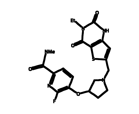 CCn1c(=O)[nH]c2cc(CN3CCC(Oc4ccc(C(=O)NC)nc4F)C3)sc2c1=O